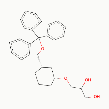 OCC(O)CO[C@@H]1CCC[C@H](COC(c2ccccc2)(c2ccccc2)c2ccccc2)C1